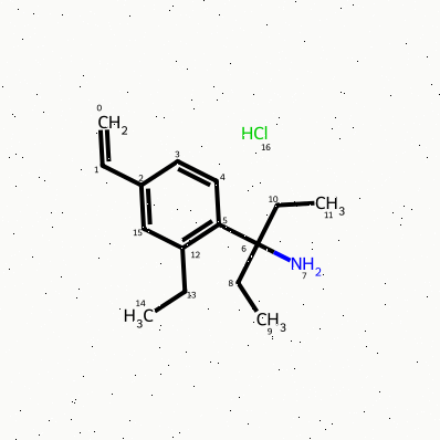 C=Cc1ccc(C(N)(CC)CC)c(CC)c1.Cl